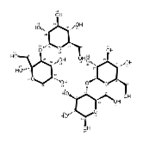 OC[C@H]1O[C@@H](O[C@H]2[C@H](O)[C@@H](O)[C@H](O)O[C@@H]2CO)[C@H](O)[C@@H](O)[C@@H]1O.OC[C@H]1O[C@H](O[C@H]2[C@H](O)[C@H](O)CO[C@@]2(O)CO)[C@H](O)[C@@H](O)[C@@H]1O